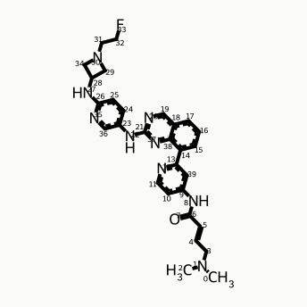 CN(C)CC=CC(=O)Nc1ccnc(-c2cccc3cnc(Nc4ccc(NC5CN(CCF)C5)nc4)nc23)c1